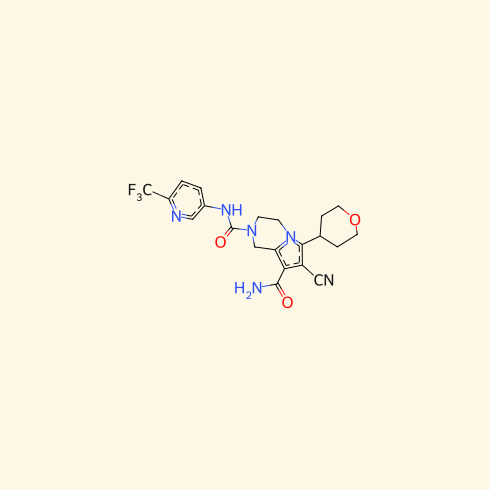 N#Cc1c(C(N)=O)c2n(c1C1CCOCC1)CCN(C(=O)Nc1ccc(C(F)(F)F)nc1)C2